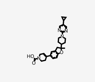 CC1(C2CCN(c3ncc(C4CC4)cn3)CC2)Cc2cc(C3=CCN(C(=O)O)CC3)ccc2O1